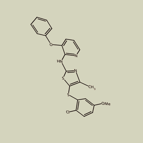 COc1ccc(Cl)c(Sc2sc(Nc3ncccc3Oc3ccccc3)nc2C)c1